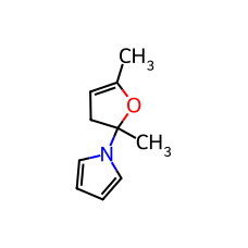 CC1=CCC(C)(n2cccc2)O1